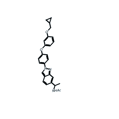 CC(=O)NC(C)c1ccc2cn(-c3ccc(Oc4cccc(OCC5CC5)c4)cc3)nc2c1